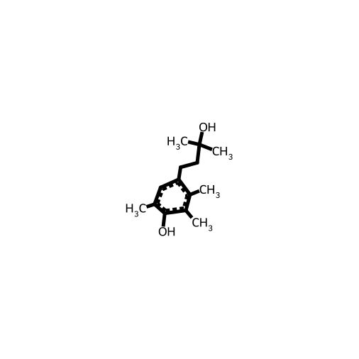 Cc1cc(CCC(C)(C)O)c(C)c(C)c1O